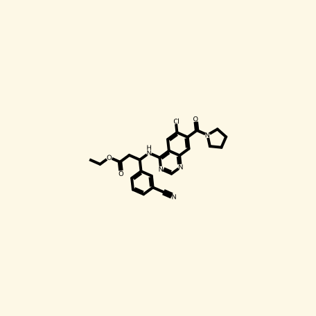 CCOC(=O)CC(Nc1ncnc2cc(C(=O)N3CCCC3)c(Cl)cc12)c1cccc(C#N)c1